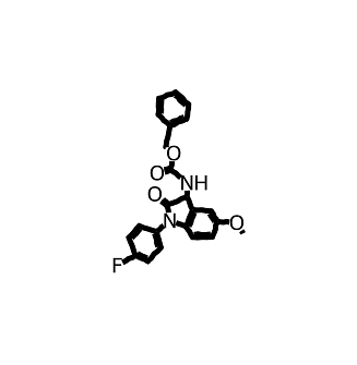 COc1ccc2c(c1)C(NC(=O)OCc1ccccc1)C(=O)N2c1ccc(F)cc1